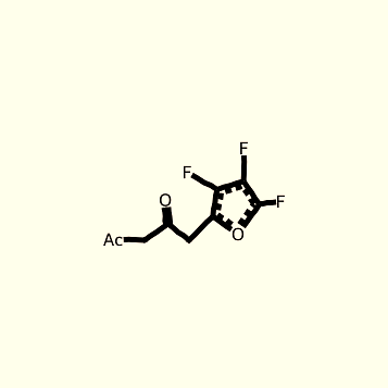 CC(=O)CC(=O)Cc1oc(F)c(F)c1F